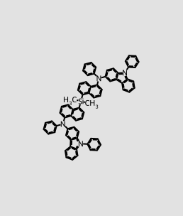 C[Si](C)(c1cccc2c(N(c3ccccc3)c3ccc4c(c3)c3ccccc3n4-c3ccccc3)cccc12)c1cccc2c(N(c3ccccc3)c3ccc4c(c3)c3ccccc3n4-c3ccccc3)cccc12